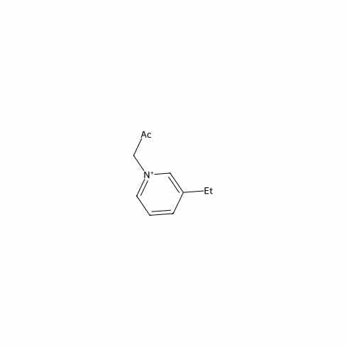 [CH2]Cc1ccc[n+](CC(C)=O)c1